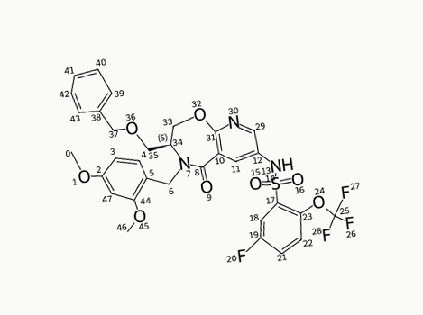 COc1ccc(CN2C(=O)c3cc(NS(=O)(=O)c4cc(F)ccc4OC(F)(F)F)cnc3OC[C@@H]2COCc2ccccc2)c(OC)c1